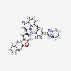 c1ccc2cc3c(cc2c1)oc1cc2c(cc13)c1ccc3ccccc3c1n2-c1ccc(-c2cn3ccccc3n2)cc1